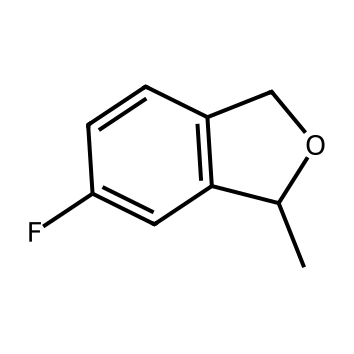 CC1OCc2ccc(F)cc21